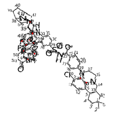 CC1(C)CCC(c2ccc(Cl)cc2)=C(CN2CCN(c3ccc(C(=O)NS(=O)(=O)c4ccc(N[C@H](CCN5C6CCC5CN(Cc5ccc(N7CCC(=O)NC7=O)cc5)C6)CSc5ccccc5)c(S(=O)(=O)C(F)(F)F)c4)cc3)CC2)C1